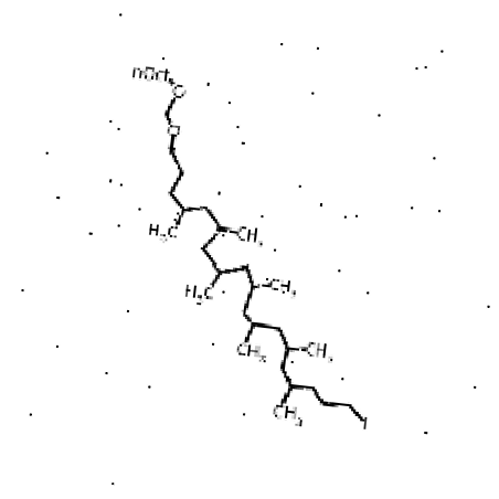 CCCCCCCCOCOCCCC(C)CC(C)CC(C)CC(C)CC(C)CC(C)CC(C)CCCI